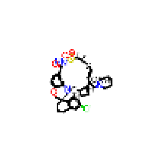 CO[C@@]1(CN2CCCCC2)/C=C/C[C@H](C)[C@@H](C)S(=O)(=O)NC(=O)c2ccc3c(c2)N(C[C@@H]2CC[C@H]21)C[C@@]1(CCCc2cc(Cl)ccc21)CO3